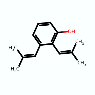 CC(C)=Cc1cccc(O)c1C=C(C)C